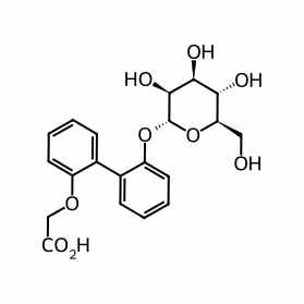 O=C(O)COc1ccccc1-c1ccccc1O[C@H]1O[C@H](CO)[C@@H](O)[C@H](O)[C@@H]1O